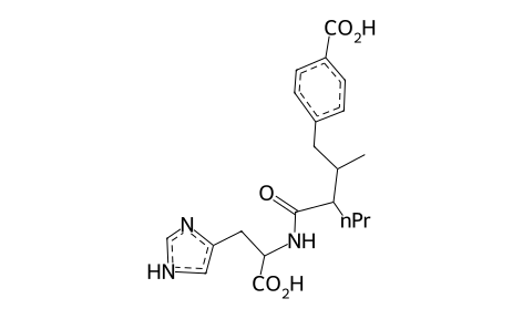 CCCC(C(=O)NC(Cc1c[nH]cn1)C(=O)O)C(C)Cc1ccc(C(=O)O)cc1